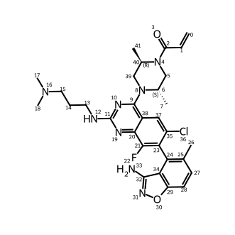 C=CC(=O)N1C[C@H](C)N(c2nc(NCCCN(C)C)nc3c(F)c(-c4c(C)ccc5onc(N)c45)c(Cl)cc23)C[C@H]1C